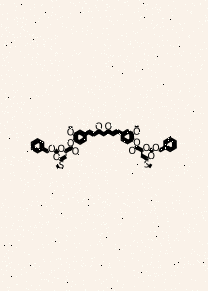 COc1cc(/C=C/C(=O)CC(=O)/C=C/c2ccc(OC(=O)[C@H](CCSC)OC(=O)OCc3ccccc3)c(OC)c2)ccc1OC(=O)[C@H](CCSC)OC(=O)OCc1ccccc1